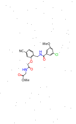 COC(=O)CNC(=O)COc1cc(C#N)ccc1CNC(=O)c1cc(Cl)cc(OC)c1